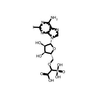 Nc1nc(I)nc2c1ncn2[C@@H]1O[C@H](COC(C(=O)O)P(=O)(O)O)[C@@H](O)[C@H]1O